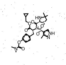 Cc1n[nH]cc1S(=O)(=O)N(C(=O)[C@H]1NC(C)(C)CS1)[C@@H](Cc1ccc(OC(=O)N(C)C)cc1)C(=O)OCC1CC1